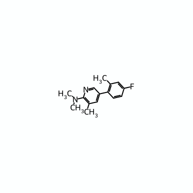 Cc1cc(F)ccc1-c1cnc(N(C)C)c(C)c1